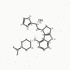 CN(C)[C@H]1CC[C@H](Oc2ncnc3sc4c(c23)[C@@H](C[C@@H](O)c2ncco2)CC4)CC1